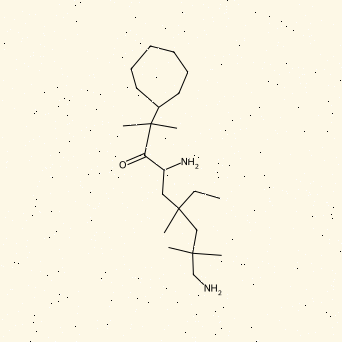 CCC(C)(CC(N)C(=O)C(C)(C)C1CCCCCC1)CC(C)(C)CN